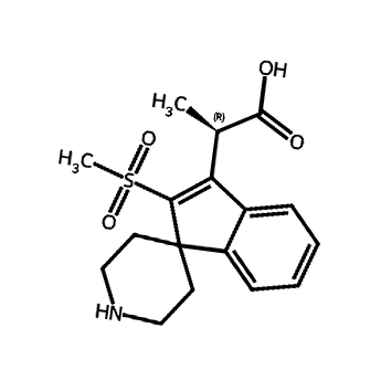 C[C@@H](C(=O)O)C1=C(S(C)(=O)=O)C2(CCNCC2)c2ccccc21